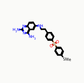 CSc1ccc(S(=O)(=O)c2ccc(CCNc3ccc4nc(N)nc(N)c4c3)cc2)cc1